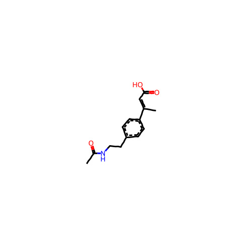 CC(=O)NCCc1ccc(C(C)=CC(=O)O)cc1